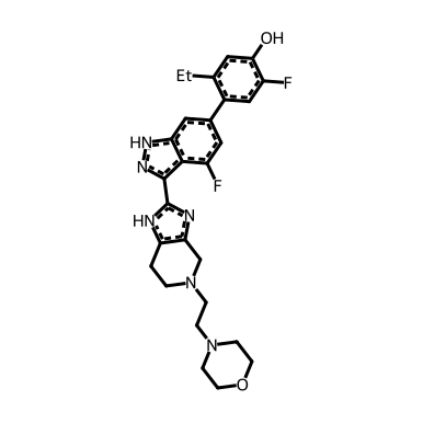 CCc1cc(O)c(F)cc1-c1cc(F)c2c(-c3nc4c([nH]3)CCN(CCN3CCOCC3)C4)n[nH]c2c1